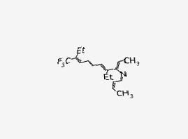 C\C=C/C=N\C(=C/C)C(=C\CCC=C(CC)C(F)(F)F)\CC